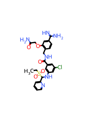 CCS(=O)(=O)C(Nc1cc(Cl)cc(C(=O)NCc2ccc(C(=N)N)cc2OCC(N)=O)c1)c1ccccn1